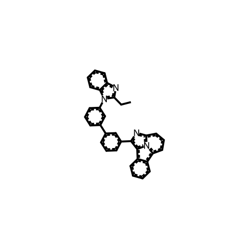 CCc1nc2ccccc2n1-c1cccc(-c2cccc(-c3nc4cccc5c6ccccc6c3n45)c2)c1